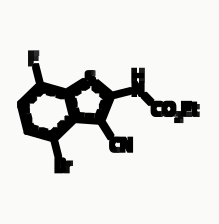 CCOC(=O)Nc1sc2c(F)ccc(Br)c2c1C#N